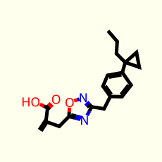 C=C(Cc1nc(Cc2ccc(C3(CCC)CC3)cc2)no1)C(=O)O